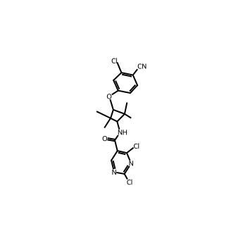 CC1(C)C(NC(=O)c2cnc(Cl)nc2Cl)C(C)(C)C1Oc1ccc(C#N)c(Cl)c1